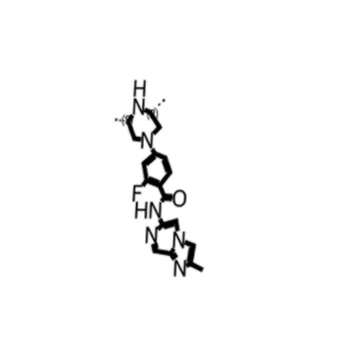 Cc1cn2cc(NC(=O)c3ccc(N4C[C@@H](C)N[C@@H](C)C4)cc3F)ncc2n1